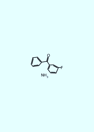 N.O=C(c1ccccc1)c1cccc(F)c1